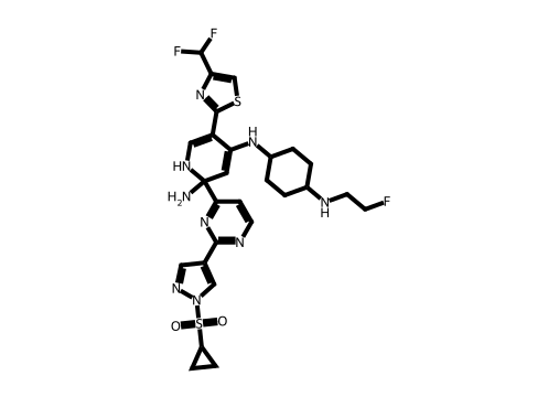 NC1(c2ccnc(-c3cnn(S(=O)(=O)C4CC4)c3)n2)C=C(NC2CCC(NCCF)CC2)C(c2nc(C(F)F)cs2)=CN1